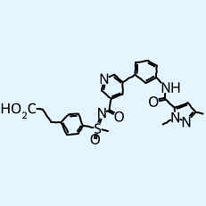 Cc1cc(C(=O)Nc2cccc(-c3cncc(C(=O)N=S(C)(=O)c4ccc(CCC(=O)O)cc4)c3)c2)n(C)n1